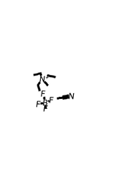 CC#N.CC[N+](C)(CC)CC.F[B-](F)(F)F